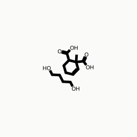 CC1(C(=O)O)C=CCCC1C(=O)O.OCCCCO